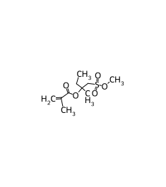 C=C(C)C(=O)OC(C)(CC)CS(=O)(=O)OC